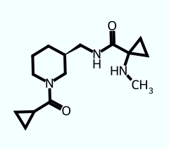 CNC1(C(=O)NC[C@@H]2CCCN(C(=O)C3CC3)C2)CC1